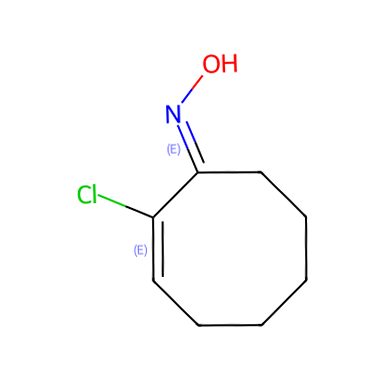 O/N=C1CCCCC/C=C\1Cl